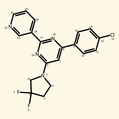 FC1(F)CCN(c2cc(-c3ccc(Cl)cc3)nc(-c3cccnc3)n2)C1